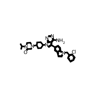 CC(C)N1CCN(C2CCC(n3cc(-c4ccc5c(ccn5Cc5ccccc5Cl)c4)c4c(N)ncnc43)CC2)CC1=O